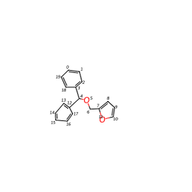 c1ccc(C(OCc2ccco2)c2ccccc2)cc1